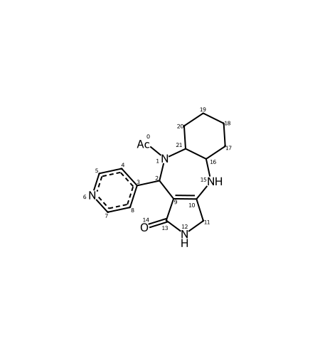 CC(=O)N1C(c2ccncc2)C2=C(CNC2=O)NC2CCCCC21